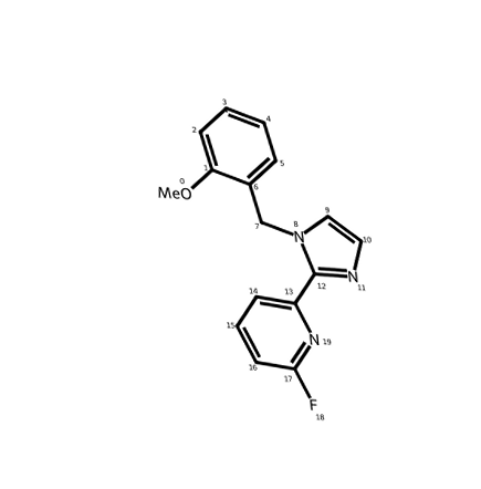 COc1c[c]ccc1Cn1ccnc1-c1cccc(F)n1